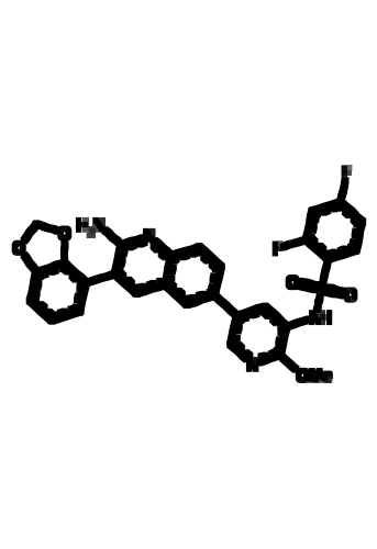 COc1ncc(-c2ccc3nc(N)c(-c4cccc5c4OCO5)cc3c2)cc1NS(=O)(=O)c1ccc(F)cc1F